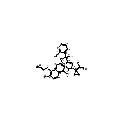 [2H]C(Nc1cc(Cl)c2ncc(C#N)c(NCC(C)(C)C)c2c1)(c1cn(C2(C(F)F)CC2)nn1)c1cccnc1F